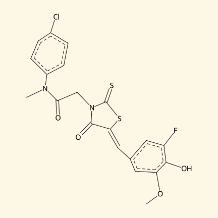 COc1cc(/C=C2\SC(=S)N(CC(=O)N(C)c3ccc(Cl)cc3)C2=O)cc(F)c1O